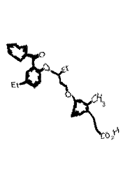 CCc1ccc(OC(CC)CCOc2ccc(CCC(=O)O)c(C)c2)c(C(=O)c2ccccc2)c1